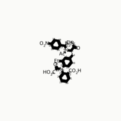 CCc1cc(C[C@@H](C(N)=O)N(C(C)=O)[C@H](C)c2ccc([N+](=O)[O-])cc2)ccc1N(C(=O)C(=O)O)c1ccccc1C(=O)O